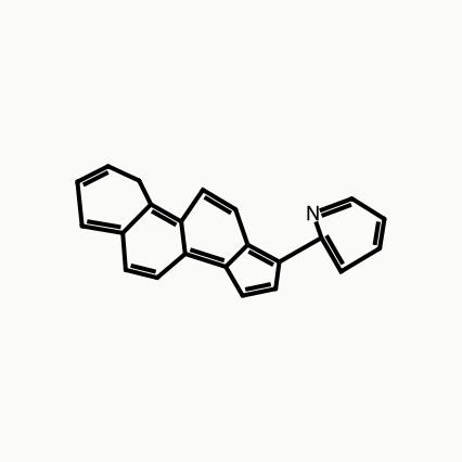 C1=CCc2c(ccc3c4c(ccc23)=C(c2ccccn2)C=C4)=C1